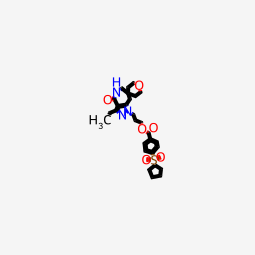 CCc1nn(CCCOC(=O)c2ccc(S(=O)(=O)C3CCCC3)cc2)c2c1C(=O)NCC1(CCOCC1)C2